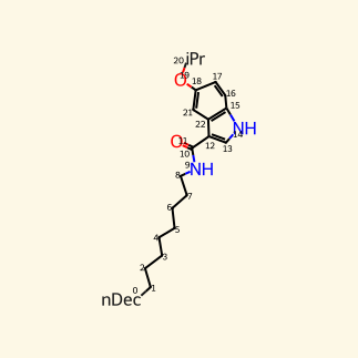 CCCCCCCCCCCCCCCCCCNC(=O)c1c[nH]c2ccc(OC(C)C)cc12